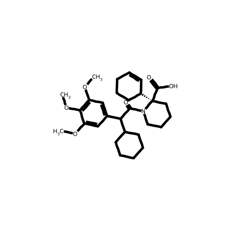 COc1cc(C(C(=O)N2CCCC[C@@]2(C(=O)O)C2C=CCCC2)C2CCCCC2)cc(OC)c1OC